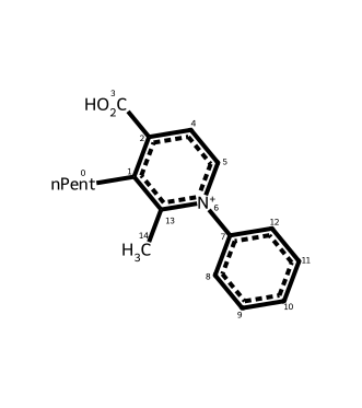 CCCCCc1c(C(=O)O)cc[n+](-c2ccccc2)c1C